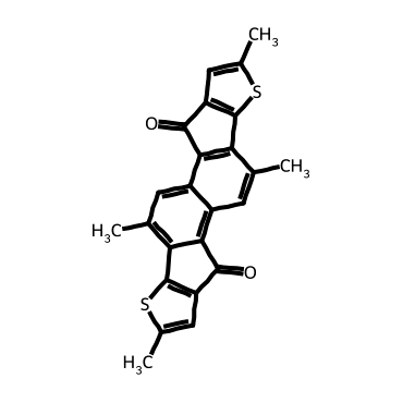 Cc1cc2c(=O)c3c4cc(C)c5c6sc(C)cc6c(=O)c5c4cc(C)c3c2s1